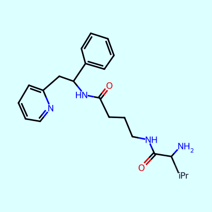 CC(C)C(N)C(=O)NCCCC(=O)NC(Cc1ccccn1)c1ccccc1